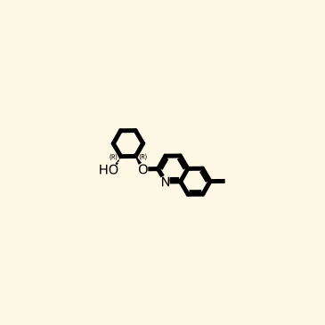 Cc1ccc2nc(O[C@@H]3CCCC[C@H]3O)ccc2c1